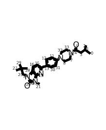 CC(C)CC(=O)N1CCN(c2ccc(-c3ccc4c(n3)n(C)c(=O)n4CC(C)(C)C)cc2)CC1